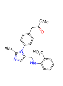 CCCCc1ncc(CNc2ccccc2C(=O)O)n1-c1ccc(CC(=O)OC)cc1